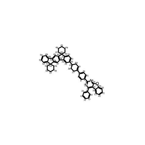 C1=C(c2ccc(-c3nc(-c4ccccc4)c4c(n3)oc3ccccc34)cc2)CCC(c2ccc3c(c2)-c2cc4c(cc2C32CCCCC2)-c2ccccc2C42CCCCC2)C1